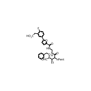 CCCCCC(C(=O)NCNC(=O)c1ccc(-c2ccc(F)c(CC(=O)O)c2)o1)C(CC)N(C=O)OCc1ccccc1